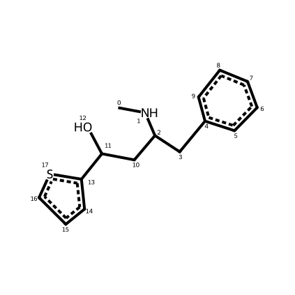 CNC(Cc1ccccc1)CC(O)c1cccs1